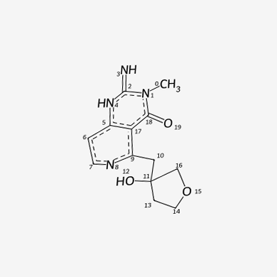 Cn1c(=N)[nH]c2ccnc(CC3(O)CCOC3)c2c1=O